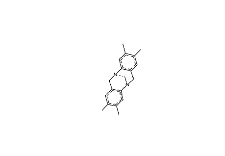 Cc1cc2c(cc1C)N1Cc3cc(C)c(C)cc3N(C2)C1